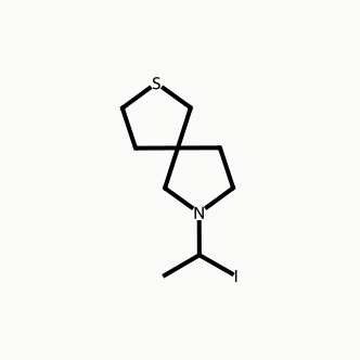 CC(I)N1CCC2(CCSC2)C1